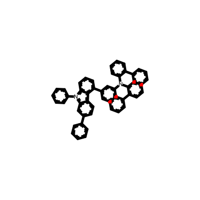 c1ccc(-c2ccc3c4c(-c5cccc(N(c6ccccc6-c6ccccc6)c6ccccc6-c6ccccc6)c5)cccc4n(-c4ccccc4)c3c2)cc1